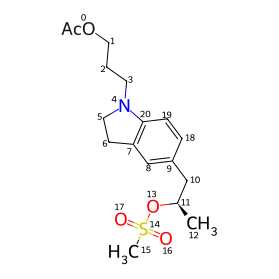 CC(=O)OCCCN1CCc2cc(C[C@@H](C)OS(C)(=O)=O)ccc21